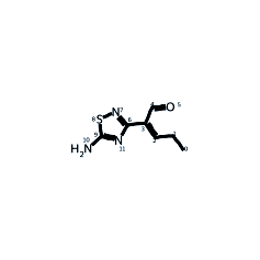 CCC=C(C=O)c1nsc(N)n1